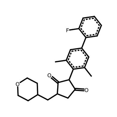 Cc1cc(-c2ccccc2F)cc(C)c1C1C(=O)CC(CC2CCOCC2)C1=O